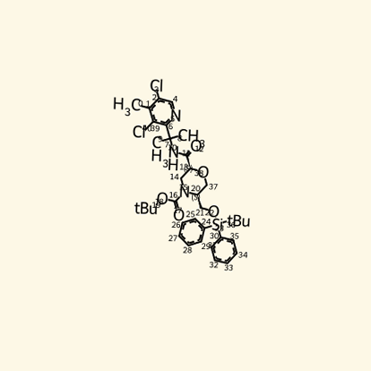 Cc1c(Cl)cnc(C(C)(C)NC(=O)[C@@H]2CN(C(=O)OC(C)(C)C)[C@H](CO[Si](c3ccccc3)(c3ccccc3)C(C)(C)C)CO2)c1Cl